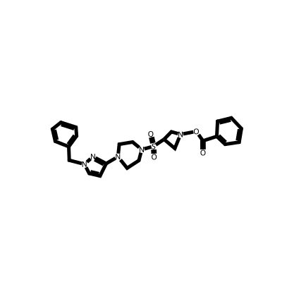 O=C(ON1CC(S(=O)(=O)N2CCN(c3ccn(Cc4ccccc4)n3)CC2)C1)c1ccccc1